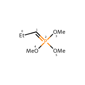 CCC=P(OC)(OC)OC